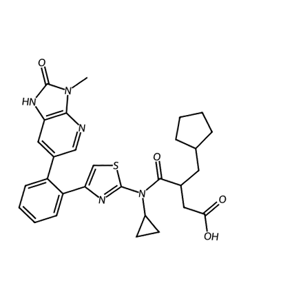 Cn1c(=O)[nH]c2cc(-c3ccccc3-c3csc(N(C(=O)C(CC(=O)O)CC4CCCC4)C4CC4)n3)cnc21